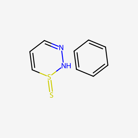 S=S1C=CC=NN1.c1ccccc1